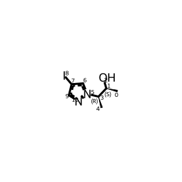 C[C@H](O)[C@@H](C)n1cc(I)cn1